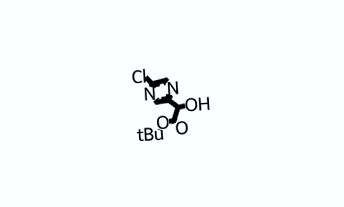 CC(C)(C)OC(=O)C(O)c1cnc(Cl)cn1